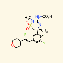 CN1C(NC(=O)O)=NC(C)(c2cc(C=C(F)C3CCOCC3)cc(F)c2F)CS1(=O)=O